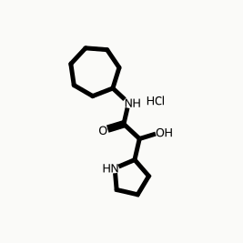 Cl.O=C(NC1CCCCCC1)C(O)C1CCCN1